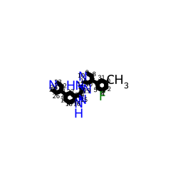 Cc1cc(F)cc(-c2ccnc3[nH]c(-c4n[nH]c5ccc(-c6ccncc6)cc45)nc23)c1